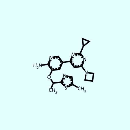 Cc1cnc(C(C)Oc2cc(-c3cc(N4CCC4)nc(C4CC4)n3)cnc2N)s1